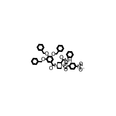 O=C(Nc1ccccc1)C1CN(C(=O)c2cc(OCc3ccccc3)c(OCc3ccccc3)c(OCc3ccccc3)c2)CCN1S(=O)(=O)c1ccc([N+](=O)[O-])cc1